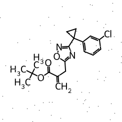 C=C(Cc1nc(C2(c3cccc(Cl)c3)CC2)no1)C(=O)OC(C)(C)C